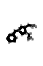 NC[C@@H]1CN(Cc2ccccc2)C[C@H]1CN